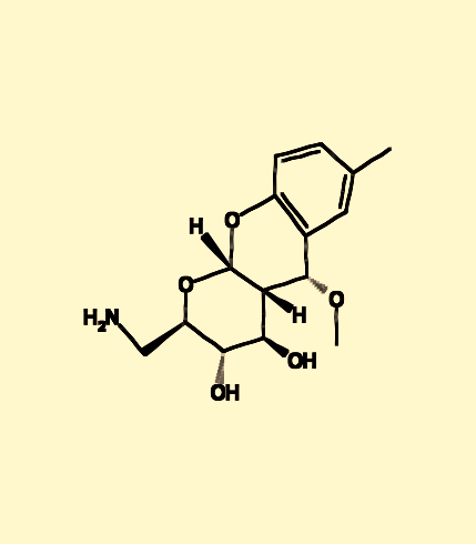 CO[C@H]1c2cc(C)ccc2O[C@H]2O[C@H](CN)[C@@H](O)[C@H](O)[C@H]21